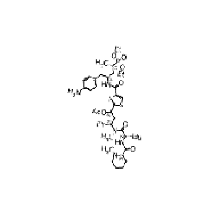 CCOP(=O)(OCC)[C@@H](C)C[C@H](Cc1ccc(N)cc1)NC(=O)c1csc([C@@H](C[C@H](C(C)C)N(C)C(=O)[C@@H](NC(=O)[C@H]2CCCCN2C)C(C)CC)OC(C)=O)n1